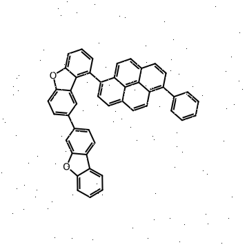 c1ccc(-c2ccc3ccc4c(-c5cccc6oc7ccc(-c8ccc9c(c8)oc8ccccc89)cc7c56)ccc5ccc2c3c54)cc1